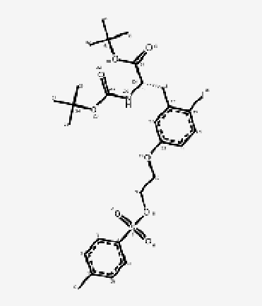 Cc1ccc(S(=O)(=O)OCCOc2ccc(I)c(C[C@H](NC(=O)OC(C)(C)C)C(=O)OC(C)(C)C)c2)cc1